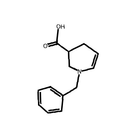 O=C(O)C1CC=CN(Cc2ccccc2)C1